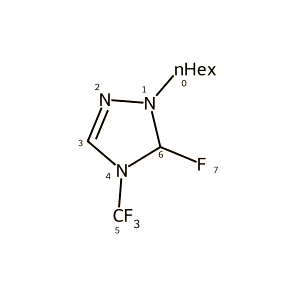 CCCCCCN1N=CN(C(F)(F)F)C1F